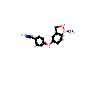 CB1OCc2cc(Oc3ccc(C#N)cc3)ccc21